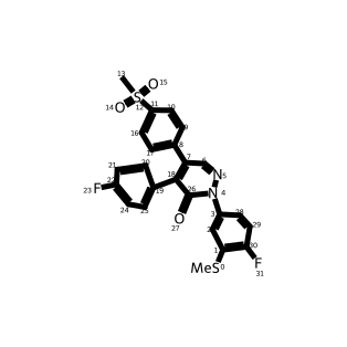 CSc1cc(-n2ncc(-c3ccc(S(C)(=O)=O)cc3)c(-c3ccc(F)cc3)c2=O)ccc1F